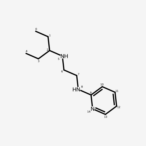 CCC(CC)NCCNc1ccccn1